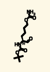 CC(C)(C)OC(=O)N[C@H](C=O)CCCCOC(N)=O